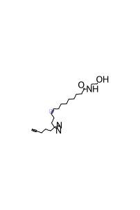 C#CCCCC1(CC/C=C\CCCCCCCC(=O)NCCO)N=N1